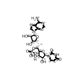 Nc1ncnc2c1ncn2[C@@H]1O[C@H](C[C@@H](OP(=O)(O)O)C2O[C@@H](n3ccc(=O)[nH]c3=O)[C@H](O)[C@@H]2O)[C@@H](O)[C@H]1O